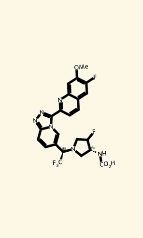 COc1cc2nc(-c3nnc4ccc([C@@H](N5CC(F)[C@H](NC(=O)O)C5)C(F)(F)F)cn34)ccc2cc1F